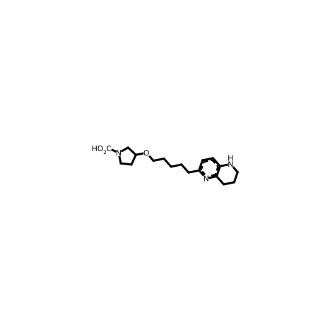 O=C(O)N1CCC(OCCCCCc2ccc3c(n2)CCCN3)C1